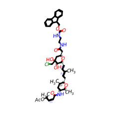 CC(=O)O[C@@H](C)/C=C\C(=O)N[C@@H]1C[C@H](C)[C@H](C/C=C(C)/C=C/[C@H]2O[C@H](CC(=O)NCCNC(=O)OCC3c4ccccc4-c4ccccc43)C[C@@](O)(CCl)[C@@H]2O)O[C@@H]1C